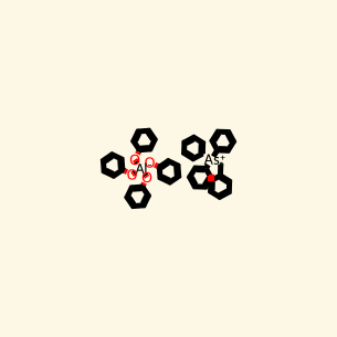 c1ccc(C[As+](c2ccccc2)(c2ccccc2)c2ccccc2)cc1.c1ccc([O][Al-]([O]c2ccccc2)([O]c2ccccc2)[O]c2ccccc2)cc1